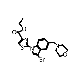 CCOC(=O)c1csc(-n2cc(Br)c3cc(CN4CCOCC4)ccc32)n1